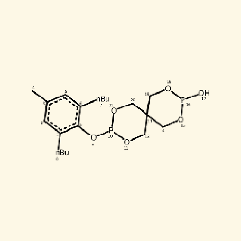 CCCCc1cc(C)cc(CCCC)c1OP1OCC2(COP(O)OC2)CO1